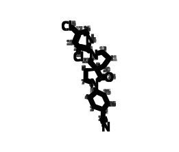 N#CC1CCC(N2CC[C@@]3(CCCN(c4ncc(Cl)cc4Cl)C3)C2=O)CC1